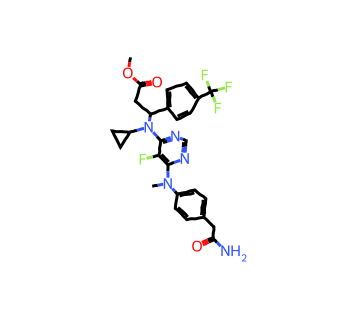 COC(=O)CC(c1ccc(C(F)(F)F)cc1)N(c1ncnc(N(C)c2ccc(CC(N)=O)cc2)c1F)C1CC1